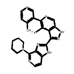 Cc1ccncc1-c1ncc2[nH]nc(-c3nc4c(N5CCCCC5)nccc4[nH]3)c2c1F